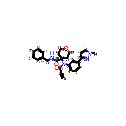 C#CC(=O)N(c1cccc(-c2ccn(C)n2)c1)C1(C(=O)NCc2ccccc2)CCOCC1